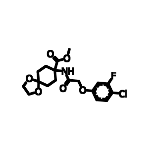 COC(=O)C1(NC(=O)COc2ccc(Cl)c(F)c2)CCC2(CC1)OCCO2